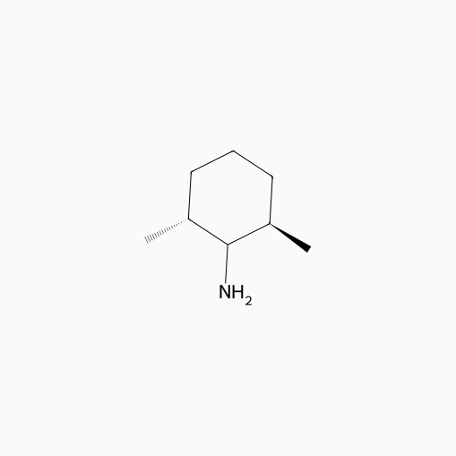 C[C@@H]1CCC[C@@H](C)C1N